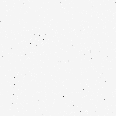 COCOCCCS(=O)(=O)N[C@H](C)c1cccc(F)c1